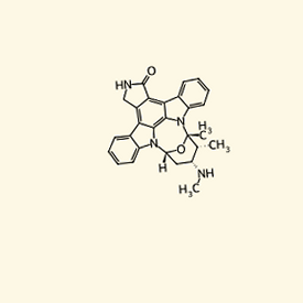 CN[C@@H]1C[C@H]2O[C@@](C)([C@@H]1C)n1c3ccccc3c3c4c(c5c6ccccc6n2c5c31)CNC4=O